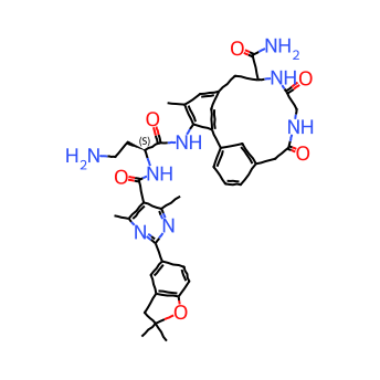 Cc1cc2cc(c1NC(=O)[C@H](CCN)NC(=O)c1c(C)nc(-c3ccc4c(c3)CC(C)(C)O4)nc1C)-c1cccc(c1)CC(=O)NCC(=O)NC(C(N)=O)C2